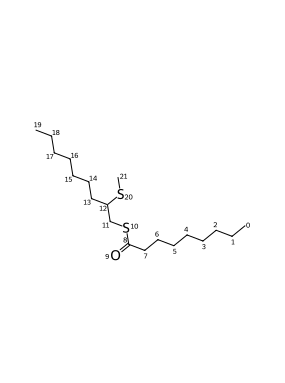 CCCCCCCCC(=O)SCC(CCCCCCC)SC